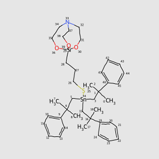 CC(C)([CH2][Sn]([CH2]C(C)(C)c1ccccc1)([CH2]C(C)(C)c1ccccc1)[S]CCC[Si]12OCCN(CCO1)CCO2)c1ccccc1